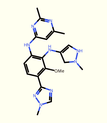 COc1c(-c2ncn(C)n2)ccc(Nc2cc(C)nc(C)n2)c1NC1=CNN(C)C1